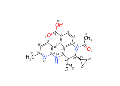 CC(=O)N1c2ccc(C(=O)O)cc2C(Nc2cccc(C)n2)[C@@H](C)[C@@H]1C1CC1